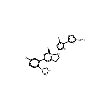 O=C(O)c1ccc(-c2[nH]c([C@@H]3CCc4nc(-c5cc(Cl)ccc5N5CNN=N5)cc(=O)n43)nc2F)s1